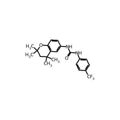 CC1(C)CC(C)(C)c2cc(NC(=O)Nc3ccc(C(F)(F)F)cc3)ccc2O1